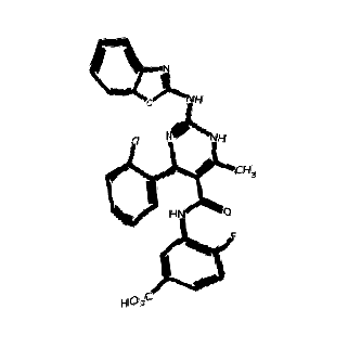 CC1=C(C(=O)Nc2cc(C(=O)O)ccc2F)C(c2ccccc2Cl)N=C(Nc2nc3ccccc3o2)N1